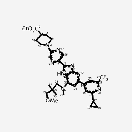 CCOC(=O)C1CCN(c2cnc(-c3nc4nc(-c5cc(C6CC6)nc(C(F)(F)F)c5)cc(N(C)CC(C)(C)COC)c4[nH]3)cn2)CC1